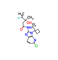 CC(F)C(C)(O)CC(=O)Nc1nc2ccc(Cl)nc2n1C1(C)CCC1